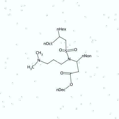 CCCCCCCCCCOC(=O)CC(CCCCCCCCC)N(CCCN(C)C)S(=O)(=O)CC(CCCCCC)CCCCCCCC